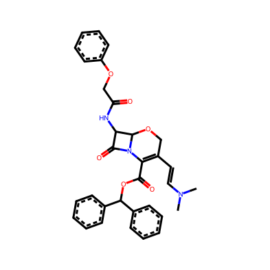 CN(C)C=CC1=C(C(=O)OC(c2ccccc2)c2ccccc2)N2C(=O)C(NC(=O)COc3ccccc3)C2OC1